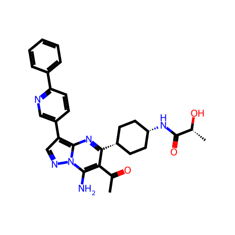 CC(=O)c1c(N)n2ncc(-c3ccc(-c4ccccc4)nc3)c2nc1[C@H]1CC[C@@H](NC(=O)[C@@H](C)O)CC1